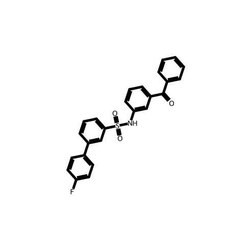 O=C(c1ccccc1)c1cccc(NS(=O)(=O)c2cccc(-c3ccc(F)cc3)c2)c1